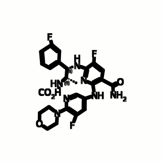 C[C@H](NC(=O)O)[C@@H](Nc1nc(Nc2cnc(N3CCOCC3)c(F)c2)c(C(N)=O)cc1F)c1cccc(F)c1